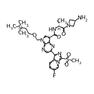 C[C@@H](NC(=O)c1cn(COCC[Si](C)(C)C)c2ncc(-c3nc(S(C)(=O)=O)n4cc(F)ccc34)nc12)C(=O)N1CC(N)C1